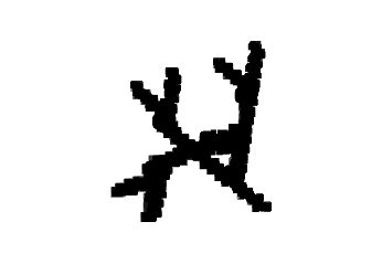 CCCCCCCCC(CCCCCCCC)OC(=O)CCCCCCCN(CCCCCCCC(=O)OC(CCCCCCCC)CCCCCCCC)C(C)CNC(=O)CCC(=O)NCC(C)N(CCCCCCC(C)(C)C(=O)OC(CCCCCCCC)CCCCCCCC)CCCCCCC(C)(C)C(=O)OC(CCCCCCCC)CCCCCCCC